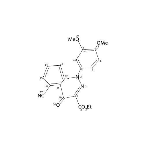 CCOC(=O)c1nn(-c2ccc(OC)c(OC)c2)c2cccc(C#N)c2c1=O